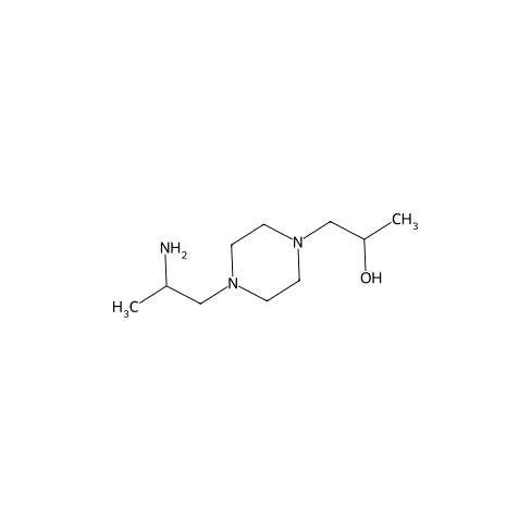 CC(N)CN1CCN(CC(C)O)CC1